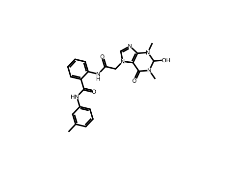 Cc1cccc(NC(=O)c2ccccc2NC(=O)Cn2cnc3c2C(=O)N(C)C(O)N3C)c1